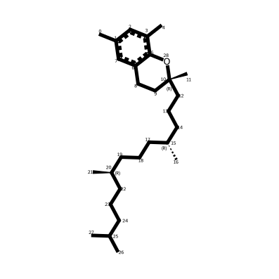 Cc1cc(C)c2c(c1)CC[C@@](C)(CCC[C@H](C)CCC[C@H](C)CCCC(C)C)O2